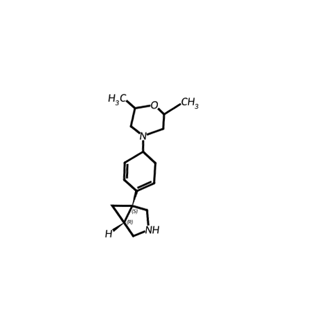 CC1CN(C2C=CC([C@@]34CNC[C@@H]3C4)=CC2)CC(C)O1